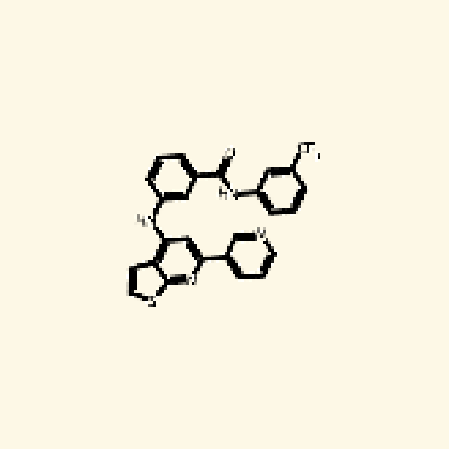 O=C(Nc1cccc(C(F)(F)F)c1)c1cccc(Nc2cc(-c3cccnc3)nc3sccc23)c1